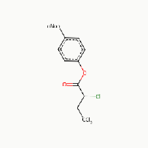 CCCCCCCCCc1ccc(OC(=O)C(Cl)CC(Cl)(Cl)Cl)cc1